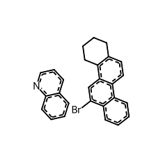 Brc1cc2c3c(ccc2c2ccccc12)CCCC3.c1ccc2ncccc2c1